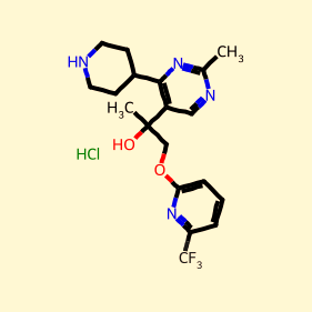 Cc1ncc(C(C)(O)COc2cccc(C(F)(F)F)n2)c(C2CCNCC2)n1.Cl